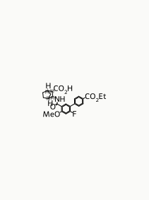 CCOC(=O)c1ccc(-c2cc(C(=O)N[C@@H]3[C@H]4CC[C@H](C4)[C@@H]3C(=O)O)c(OC)cc2F)cc1